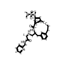 C[C@H](NCC1Cc2cccc(c2)CCCCc2cc(cc(N(C)S(=O)(=O)N(C)C)c2)C(=O)N1)C(=O)NCc1ccccn1